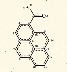 CCCC(=O)c1ccc2ccc3cccc4ccc1c2c34